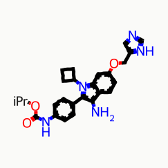 CC(C)OC(=O)Nc1ccc(-c2c(N)c3ccc(OCc4cnc[nH]4)cc3n2C2CCC2)cc1